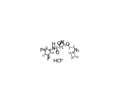 CN(CCOc1cc(C(=O)Nc2cc(F)cc(F)c2)on1)C1CCC1.Cl